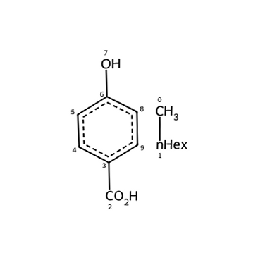 CCCCCCC.O=C(O)c1ccc(O)cc1